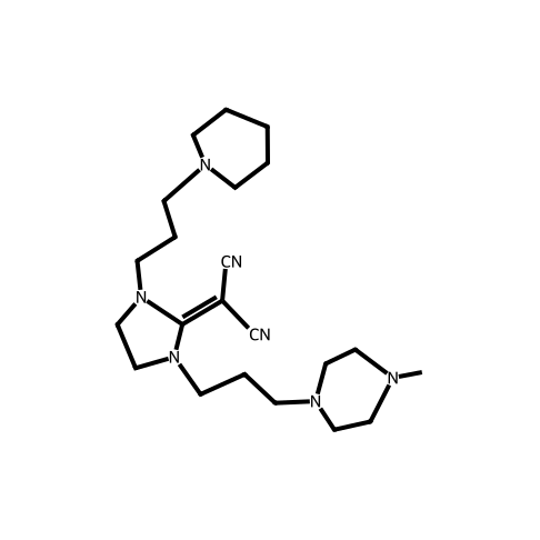 CN1CCN(CCCN2CCN(CCCN3CCCCC3)C2=C(C#N)C#N)CC1